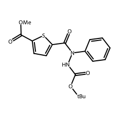 COC(=O)c1ccc(C(=O)N(NC(=O)OC(C)(C)C)c2ccccc2)s1